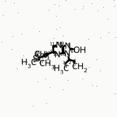 C=CC(CC)n1c(O)nc2ncc(C#C[Si](C)(C)C)nc21